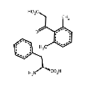 Cc1cccc(C)c1C(=O)CC(=O)O.N[C@@H](Cc1ccccc1)C(=O)O